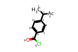 CC(=O)C(C)c1ccc(C(=O)Cl)cc1